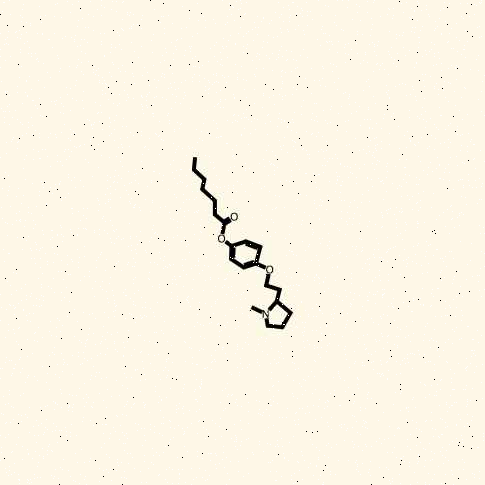 CCCCCCC(=O)Oc1ccc(OCCC2CCCN2C)cc1